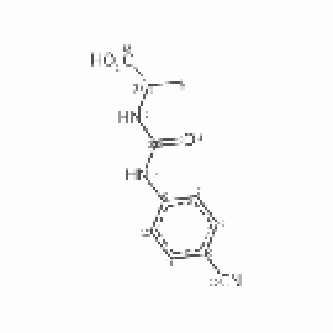 C[C@H](NC(=O)Nc1ccc(C#N)cc1)C(=O)O